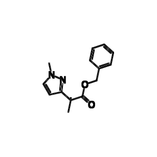 C[C](C(=O)OCc1ccccc1)c1ccn(C)n1